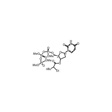 CCCCC(CC)C(=O)OC1C[C@H](n2ccc(=O)[nH]c2=O)O[C@@H]1COP(=O)(OC)OP(=O)(OC)OP(=O)(OC)OC